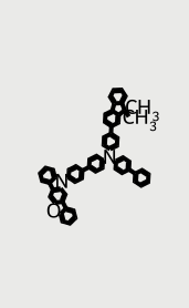 CC1(C)c2ccccc2-c2ccc(-c3ccc(N(c4ccc(-c5ccccc5)cc4)c4ccc(-c5ccc(-n6c7ccccc7c7cc8oc9ccccc9c8cc76)cc5)cc4)cc3)cc21